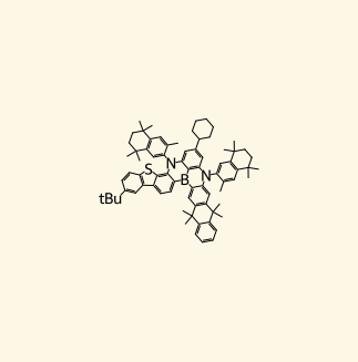 Cc1cc2c(cc1N1c3cc4c(cc3B3c5ccc6c(sc7ccc(C(C)(C)C)cc76)c5N(c5cc6c(cc5C)C(C)(C)CCC6(C)C)c5cc(C6CCCCC6)cc1c53)C(C)(C)c1ccccc1C4(C)C)C(C)(C)CCC2(C)C